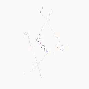 CCCCCCCCC1C(CCCCCC)CCC(CCCCCCCC(=O)NCCCCCC(C)(C)N2C(=O)C=CC2=O)C1CCCCCCCC(=O)Nc1ccc2nc(-c3ccc(N4CC(C)(CCCCCCCC5C(CCCCCCCC(=O)NCCCCCCN6C(=O)C=CC6=O)CCC(CCCCCC)C5CCCCCCCC)C4=O)cc3)oc2c1